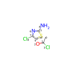 CC(=O)Cl.Nc1nc(Cl)cs1